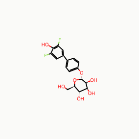 OC[C@H]1O[C@H](Oc2ccc(-c3cc(F)c(O)c(F)c3)cc2)[C@@H](O)[C@@H](O)[C@@H]1O